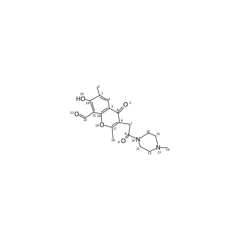 Cc1cc2c(=O)c(CC(=O)N3CCN(C)CC3)c(C)oc2c(C=O)c1O